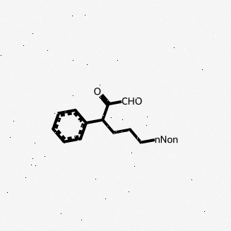 CCCCCCCCCCCCC(C(=O)C=O)c1ccccc1